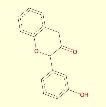 O=C1Cc2ccccc2OC1c1cccc(O)c1